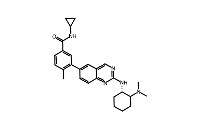 Cc1ccc(C(=O)NC2CC2)cc1-c1ccc2nc(N[C@H]3CCCCC3N(C)C)ncc2c1